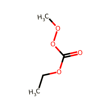 CCOC(=O)OOC